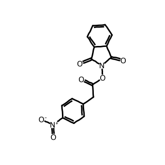 O=C(Cc1ccc([N+](=O)[O-])cc1)ON1C(=O)c2ccccc2C1=O